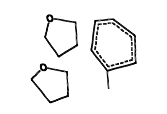 C1CCOC1.C1CCOC1.Cc1ccccc1